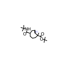 CC(C)(C)NC(=O)C1C/C=C/C(C)(C(=O)OC(C)(C)C)CCC1